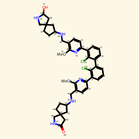 COc1nc(-c2cccc(-c3cccc(-c4ccc(CNC5CCC6(CNC(O)C6)C5)c(OC)n4)c3Cl)c2Cl)ccc1CNC1CCC2(CNC(=O)C2)C1